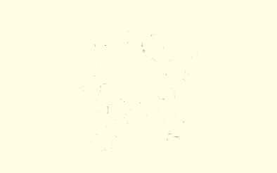 c1ccc(-c2cccc(-c3nc(-c4ccccc4)nc(-c4ccc5c(c4)c4ccccc4c4ccc6c7cccc(-c8ccc9ccccc9c8)c7oc6c45)n3)c2)cc1